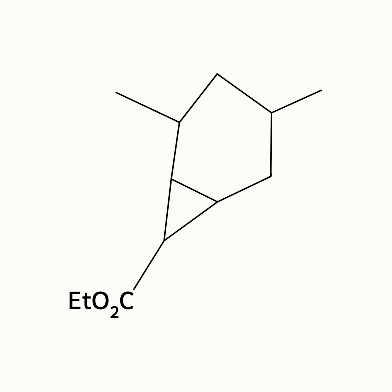 CCOC(=O)C1C2CC(C)CC(C)C21